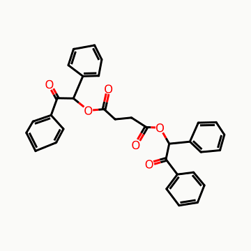 O=C(CCC(=O)OC(C(=O)c1ccccc1)c1ccccc1)OC(C(=O)c1ccccc1)c1ccccc1